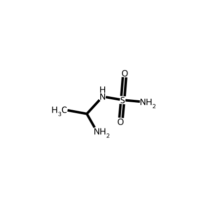 CC(N)NS(N)(=O)=O